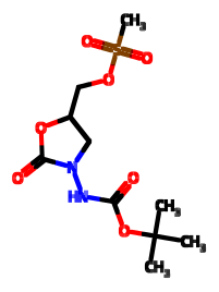 CC(C)(C)OC(=O)NN1CC(COS(C)(=O)=O)OC1=O